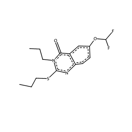 CCCSc1nc2ccc(OC(F)F)cc2c(=O)n1CCC